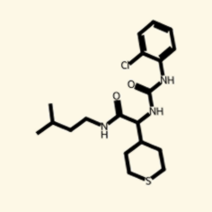 CC(C)CCNC(=O)C(NC(=O)Nc1ccccc1Cl)C1CCSCC1